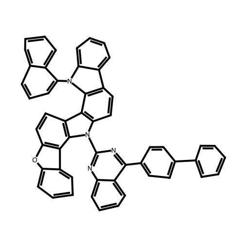 c1ccc(-c2ccc(-c3nc(-n4c5ccc6c7ccccc7n(-c7cccc8ccccc78)c6c5c5ccc6oc7ccccc7c6c54)nc4ccccc34)cc2)cc1